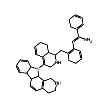 N/C(=C\C1=C(CC2NCC(N3C4C=CC=CC4C4C=CC5=C(CNCC5)C43)=C3C=CCCC32)CCC=C1)C1=CC=CCC1